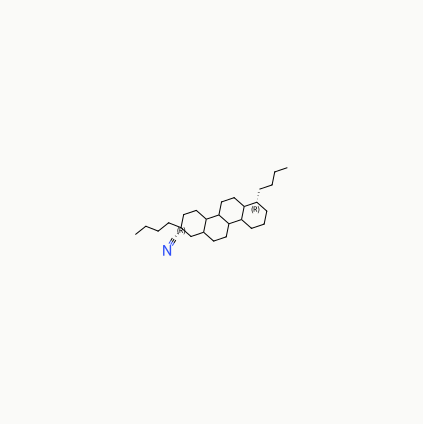 CCCC[C@@H]1CCCC2C3CCC4C[C@@](C#N)(CCCC)CCC4C3CCC21